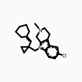 CN1CCc2c(n(CC3(C=C4CCCCC4)CC3)c3ccc(Cl)cc23)C1